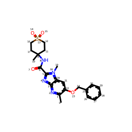 Cc1nc2nc(C(=O)NC3(C)CCS(=O)(=O)CC3)n(C)c2cc1OCc1ccccc1